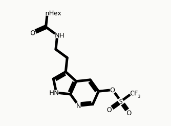 CCCCCCC(=O)NCCc1c[nH]c2ncc(OS(=O)(=O)C(F)(F)F)cc12